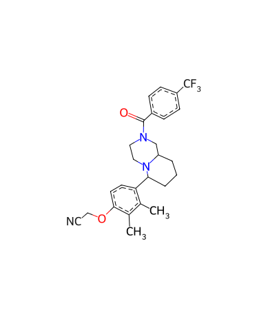 Cc1c(OCC#N)ccc(C2CCCC3CN(C(=O)c4ccc(C(F)(F)F)cc4)CCN32)c1C